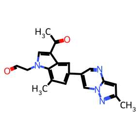 CC(=O)c1cn(CC=O)c2c(C)cc(-c3cnc4cc(C)nn4c3)cc12